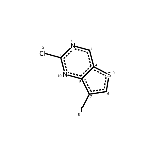 Clc1ncc2scc(I)c2n1